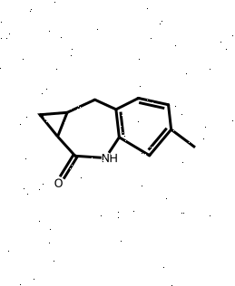 Cc1ccc2c(c1)NC(=O)C1CC1C2